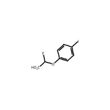 O=C(O)C(F)Oc1ccc(I)cc1